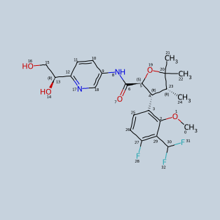 COc1c([C@@H]2[C@@H](C(=O)Nc3ccc([C@@H](O)CO)nc3)OC(C)(C)[C@@H]2C)ccc(F)c1C(F)F